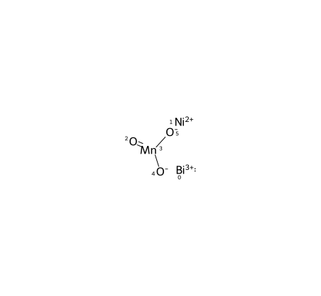 [Bi+3].[Ni+2].[O]=[Mn]([O-])[O-]